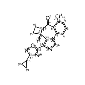 Cc1cccc2c1C(=O)N1CC[C@H]1c1c(-c3nc(C4CC4)no3)ncn1-2